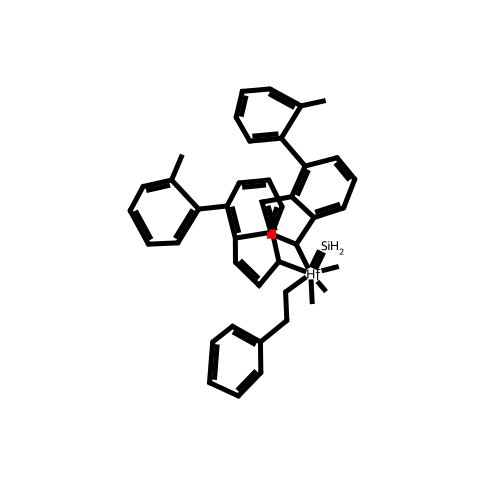 Cc1ccccc1-c1cccc2c1C=C[CH]2[Hf]([CH3])([CH3])([CH3])(=[SiH2])([CH2]Cc1ccccc1)[CH]1C=Cc2c(-c3ccccc3C)cccc21